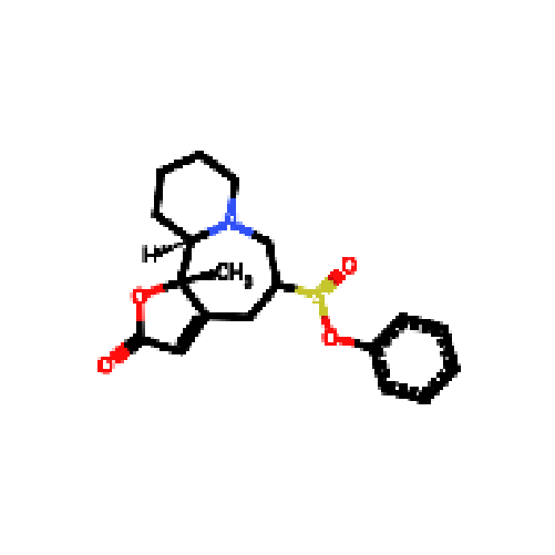 C[C@]12OC(=O)C=C1CC(S(=O)Oc1ccccc1)CN1CCCC[C@@H]12